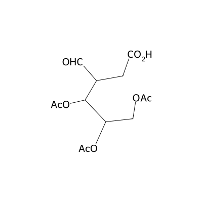 CC(=O)OCC(OC(C)=O)C(OC(C)=O)C(C=O)CC(=O)O